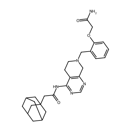 NC(=O)COc1ccccc1CN1CCc2c(ncnc2NC(=O)CC23CC4CC(CC(C4)C2)C3)C1